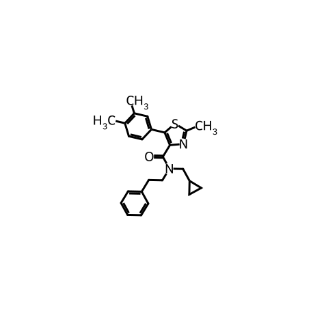 Cc1nc(C(=O)N(CCc2ccccc2)CC2CC2)c(-c2ccc(C)c(C)c2)s1